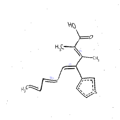 C=C/C=C/C=C(/C(C)=C(\C)C(=O)O)c1ccsc1